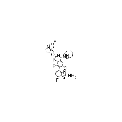 Nc1nc2c(-c3c(Cl)cc4c(N5CC6CCCC(C5)NC6)nc(OC[C@@]56CCCN5C[C@H](F)C6)nc4c3F)ccc(F)c2s1